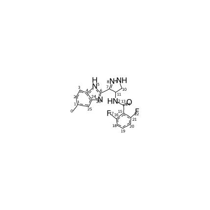 Cc1ccc2[nH]c(C3=NNCC3NC(=O)c3c(F)cccc3F)nc2c1